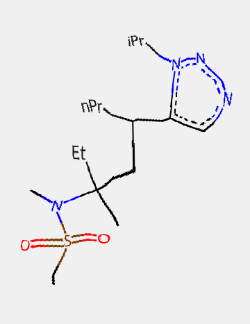 CCCC(CC(C)(CC)N(C)S(C)(=O)=O)c1cnnn1C(C)C